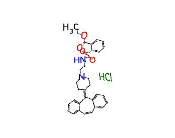 CCOC(=O)c1ccccc1S(=O)(=O)NCCN1CCC(=C2c3ccccc3C=Cc3ccccc32)CC1.Cl